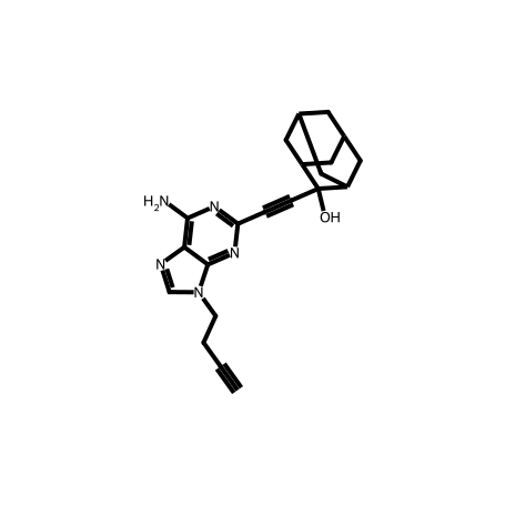 C#CCCn1cnc2c(N)nc(C#CC3(O)C4CC5CC(C4)CC3C5)nc21